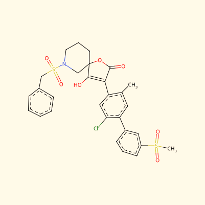 Cc1cc(-c2cccc(S(C)(=O)=O)c2)c(Cl)cc1C1=C(O)C2(CCCN(S(=O)(=O)Cc3ccccc3)C2)OC1=O